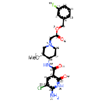 CO[C@@H]1CN(CC(=O)OCc2cccc(F)c2)CC[C@@H]1NC(=O)c1cc(Cl)c(N)[nH]c1=O